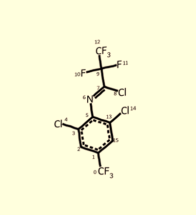 FC(F)(F)c1cc(Cl)c(N=C(Cl)C(F)(F)C(F)(F)F)c(Cl)c1